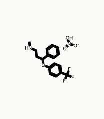 CNCCC(Oc1ccc(C(F)(F)F)cc1)c1ccccc1.O=[N+]([O-])O